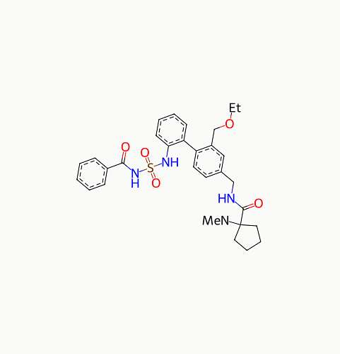 CCOCc1cc(CNC(=O)C2(NC)CCCC2)ccc1-c1ccccc1NS(=O)(=O)NC(=O)c1ccccc1